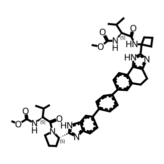 COC(=O)N[C@H](C(=O)NC1(c2nc3c([nH]2)-c2ccc(-c4ccc(-c5ccc6nc([C@@H]7CCCN7C(=O)[C@@H](NC(=O)OC)C(C)C)[nH]c6c5)cc4)cc2CC3)CCC1)C(C)C